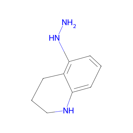 NNc1cccc2c1CCCN2